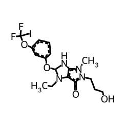 CCN1c2c(n(C)n(CCCO)c2=O)NC1Oc1cccc(OC(F)(F)I)c1